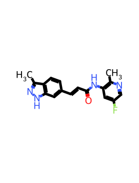 Cc1ncc(F)cc1NC(=O)/C=C/c1ccc2c(C)n[nH]c2c1